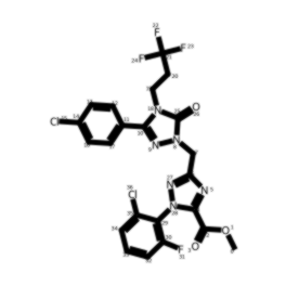 COC(=O)c1nc(Cn2nc(-c3ccc(Cl)cc3)n(CCC(F)(F)F)c2=O)nn1-c1c(F)cccc1Cl